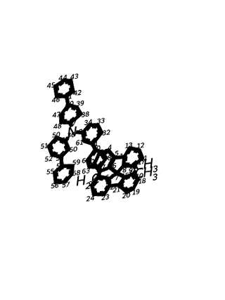 C=C1CC=CC2=C1C1(c3c(C)cccc32)c2c(C)cccc2-c2cccc(-c3ccc(-c4cccc(N(c5ccc(-c6ccccc6)cc5)c5cccc(-c6ccccc6)c5)c4)cc3)c21